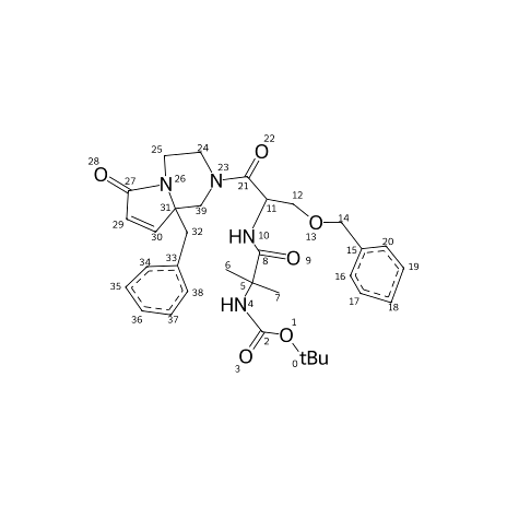 CC(C)(C)OC(=O)NC(C)(C)C(=O)NC(COCc1ccccc1)C(=O)N1CCN2C(=O)C=CC2(Cc2ccccc2)C1